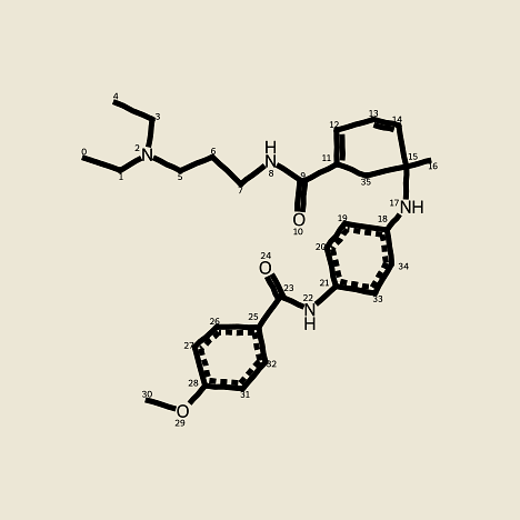 CCN(CC)CCCNC(=O)C1=CC=CC(C)(Nc2ccc(NC(=O)c3ccc(OC)cc3)cc2)C1